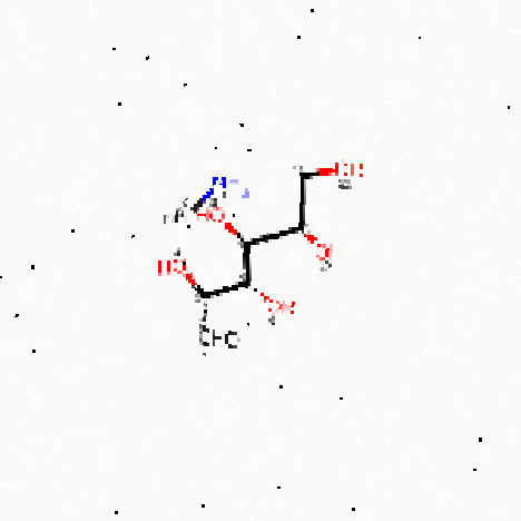 CCCN.O=C[C@H](O)[C@@H](O)[C@@H](O)[C@H](O)CO